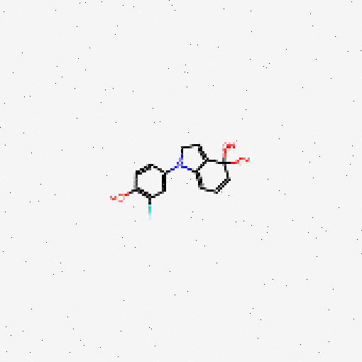 Oc1ccc(N2CC=C3C2=CC=CC3(O)O)cc1F